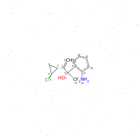 C=C([C@H]1C[C@@H]1Cl)C(O)(c1ccccc1N)C(F)(F)F